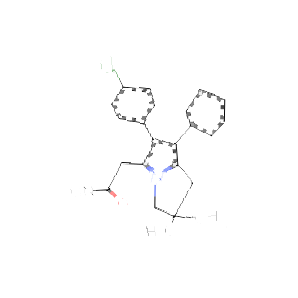 CC1(C)Cc2c(-c3ccccc3)c(-c3ccc(Cl)cc3)c(CC(=O)N=O)n2C1